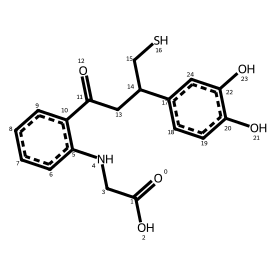 O=C(O)CNc1ccccc1C(=O)CC(CS)c1ccc(O)c(O)c1